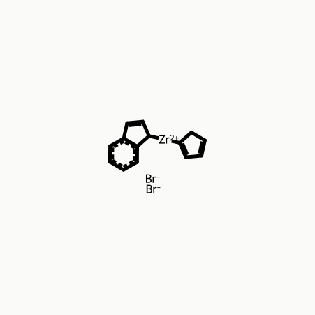 C1=CC[C]([Zr+2][CH]2C=Cc3ccccc32)=C1.[Br-].[Br-]